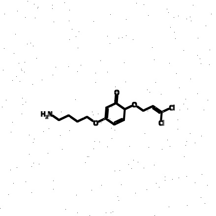 NCCCCOC1=CC(=O)C(OCC=C(Cl)Cl)C=C1